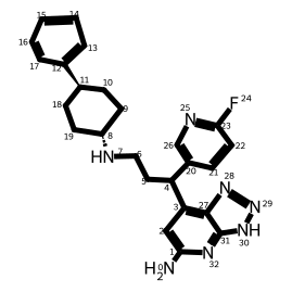 Nc1cc(C(CCN[C@H]2CC[C@H](c3ccccc3)CC2)c2ccc(F)nc2)c2nn[nH]c2n1